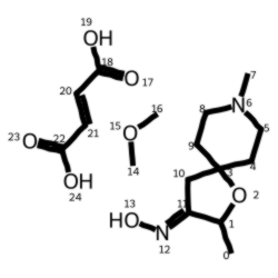 CC1OC2(CCN(C)CC2)CC1=NO.COC.O=C(O)C=CC(=O)O